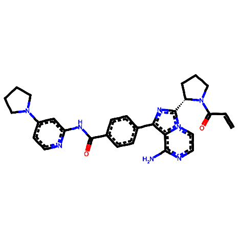 C=CC(=O)N1CCC[C@H]1c1nc(-c2ccc(C(=O)Nc3cc(N4CCCC4)ccn3)cc2)c2c(N)nccn12